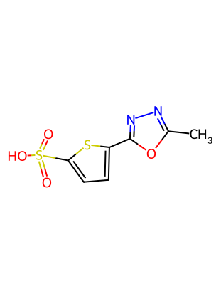 Cc1nnc(-c2ccc(S(=O)(=O)O)s2)o1